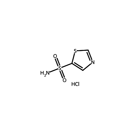 Cl.NS(=O)(=O)c1cncs1